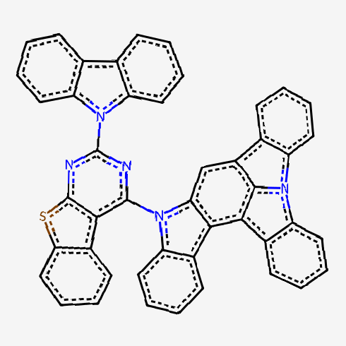 c1ccc2c(c1)sc1nc(-n3c4ccccc4c4ccccc43)nc(-n3c4ccccc4c4c5c6ccccc6n6c7ccccc7c(cc43)c56)c12